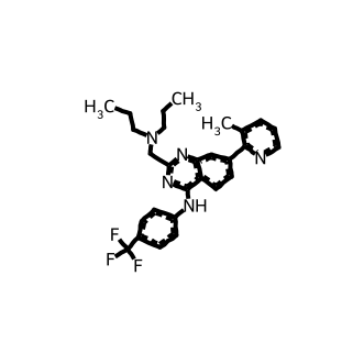 CCCN(CCC)Cc1nc(Nc2ccc(C(F)(F)F)cc2)c2ccc(-c3ncccc3C)cc2n1